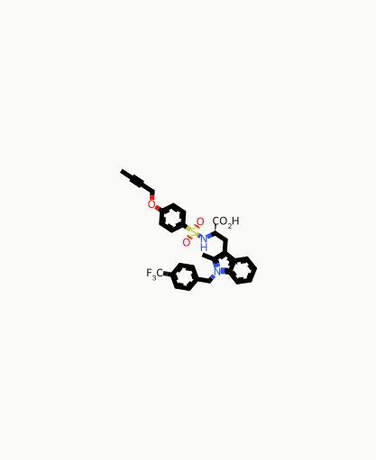 CC#CCOc1ccc(S(=O)(=O)N[C@@H](Cc2c(C)n(Cc3ccc(C(F)(F)F)cc3)c3ccccc23)C(=O)O)cc1